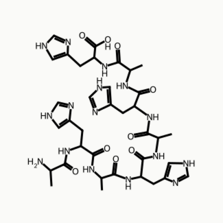 CC(N)C(=O)NC(Cc1c[nH]cn1)C(=O)NC(C)C(=O)NC(Cc1c[nH]cn1)C(=O)NC(C)C(=O)NC(Cc1c[nH]cn1)C(=O)NC(C)C(=O)NC(Cc1c[nH]cn1)C(=O)O